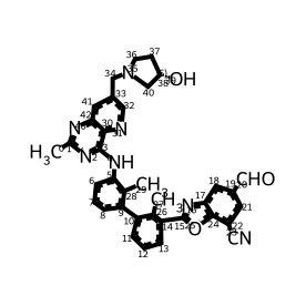 Cc1nc(Nc2cccc(-c3cccc(-c4nc5cc(C=O)cc(C#N)c5o4)c3C)c2C)c2ncc(CN3CC[C@H](O)C3)cc2n1